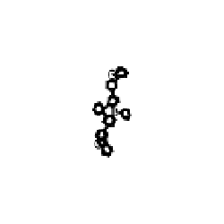 c1ccc(B2c3ccc(-c4ccc5oc6ccccc6c5c4)cc3-c3ccccc3-c3cc(-c4ccc5oc6ccccc6c5c4)ccc32)cc1